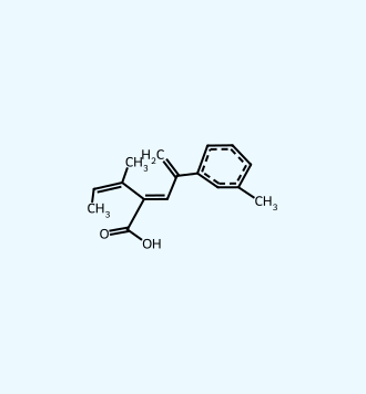 C=C(/C=C(C(=O)O)\C(C)=C/C)c1cccc(C)c1